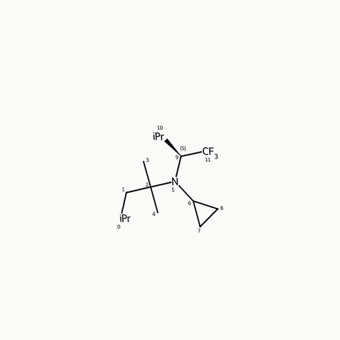 CC(C)CC(C)(C)N(C1CC1)[C@@H](C(C)C)C(F)(F)F